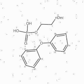 CCCCCCCCCCCCOP(=O)(O)O.c1ccc(Oc2ccccc2)cc1